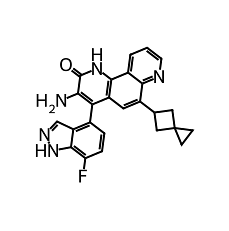 Nc1c(-c2ccc(F)c3[nH]ncc23)c2cc(C3CC4(CC4)C3)c3ncccc3c2[nH]c1=O